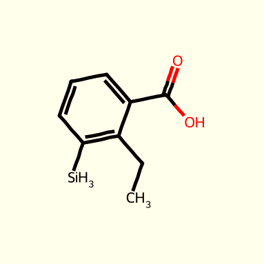 CCc1c([SiH3])cccc1C(=O)O